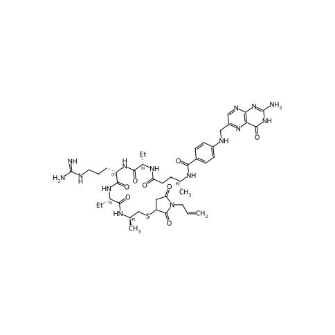 C=CCN1C(=O)CC(SC[C@@H](C)NC(=O)[C@H](CC)NC(=O)[C@H](CCCNC(=N)N)NC(=O)[C@H](CC)NC(=O)CC[C@@H](C)NC(=O)c2ccc(NCc3cnc4nc(N)[nH]c(=O)c4n3)cc2)C1=O